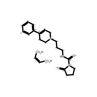 O=C(O)/C=C\C(=O)O.O=C1CCCN1C(=O)NCCCN1CC=C(c2ccccc2)CC1